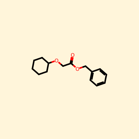 O=C(COC1CCCCC1)OCc1ccccc1